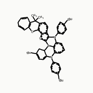 CC(C)(C)C1=CC=C2C(C1)B1c3sc4c5c(ccc4c3N(c3ccc(C(C)(C)C)cc3)c3cccc(c31)N2c1ccc(C(C)(C)C)cc1)C(C)(C)C1=C(C=CCC=C1)O5